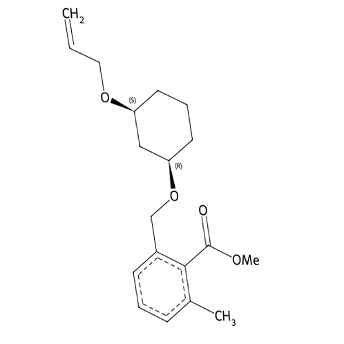 C=CCO[C@H]1CCC[C@@H](OCc2cccc(C)c2C(=O)OC)C1